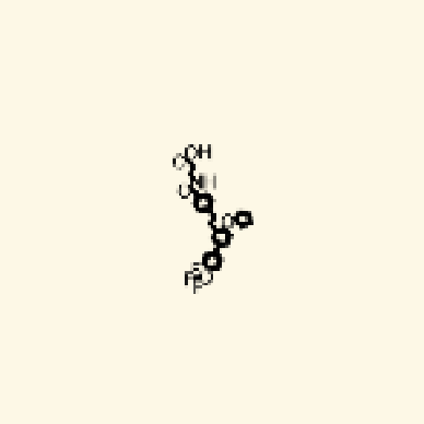 O=C(O)CCNC(=O)c1ccc(CCc2cc(-c3ccc(OC(F)(F)F)cc3)ccc2OC2CCCC2)cc1